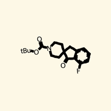 CC(C)(C)OC(=O)N1CCC2(CC1)Cc1cccc(F)c1C2=O